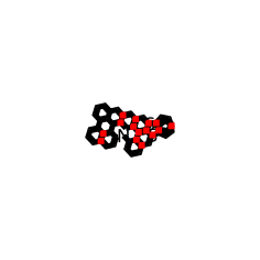 c1ccc(-c2cccc3cccc(-c4ccccc4N(c4ccccc4-c4cccc5c4sc4ccccc45)c4ccccc4-c4cccc5c4sc4ccccc45)c23)cc1